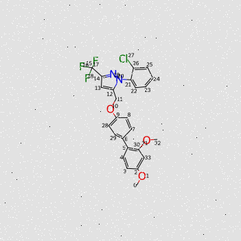 COc1ccc(-c2ccc(OCc3cc(C(F)(F)F)nn3-c3ccccc3Cl)cc2)c(OC)c1